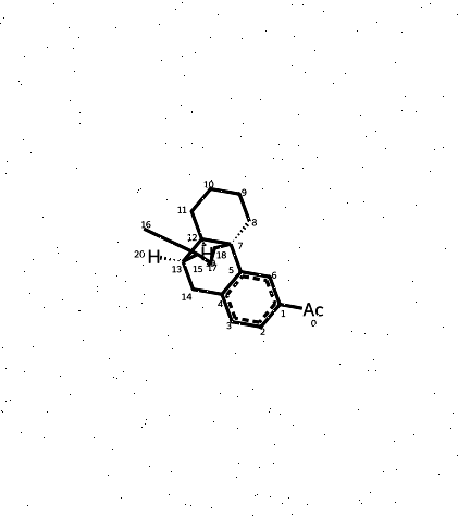 CC(=O)c1ccc2c(c1)[C@]13CCCC[C@@H]1[C@H](C2)C(C)CC3